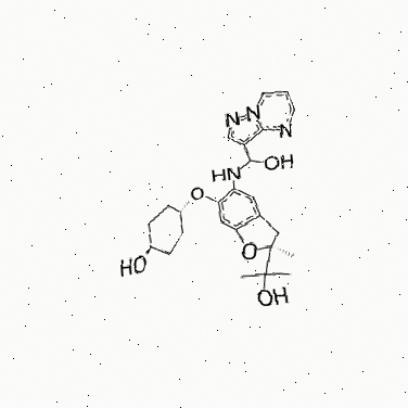 CC(C)(O)[C@]1(C)Cc2cc(NC(O)c3cnn4cccnc34)c(O[C@H]3CC[C@H](O)CC3)cc2O1